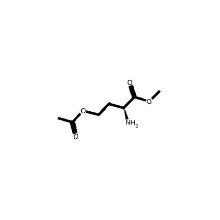 COC(=O)[C@@H](N)CCOC(C)=O